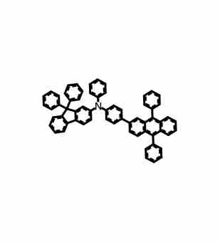 c1ccc(-c2c3ccccc3c(-c3ccccc3)c3cc(-c4ccc(N(c5ccccc5)c5ccc6c(c5)C(c5ccccc5)(c5ccccc5)c5ccccc5-6)cc4)ccc23)cc1